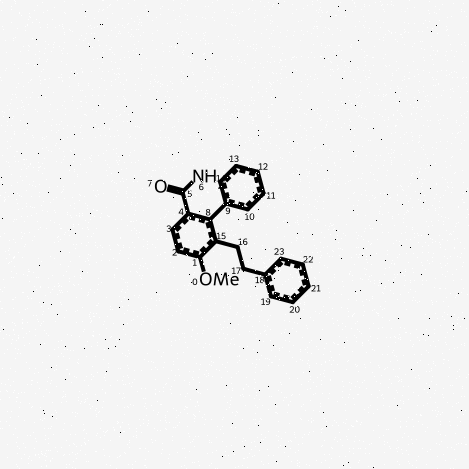 COc1ccc(C(N)=O)c(-c2ccccc2)c1CCc1ccccc1